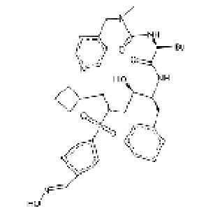 CC[C@H](C)[C@H](NC(=O)N(C)Cc1ccncc1)C(=O)N[C@@H](Cc1ccccc1)[C@H](O)CN(CC1CCC1)S(=O)(=O)c1ccc(C=NO)cc1